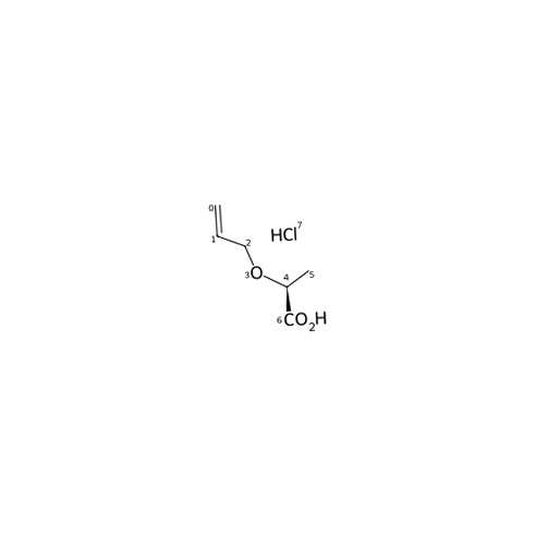 C=CCO[C@@H](C)C(=O)O.Cl